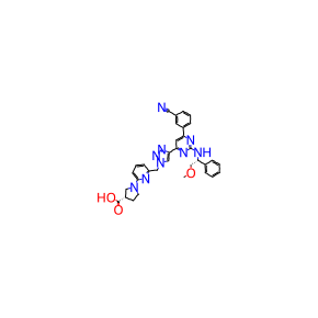 COC[C@H](Nc1nc(-c2cccc(C#N)c2)cc(-c2cn(Cc3cccc(N4CC[C@H](C(=O)O)C4)n3)nn2)n1)c1ccccc1